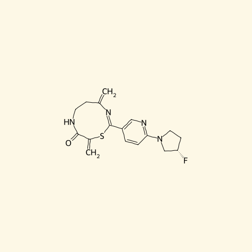 C=C1CCNC(=O)C(=C)S/C(c2ccc(N3CC[C@H](F)C3)nc2)=N\1